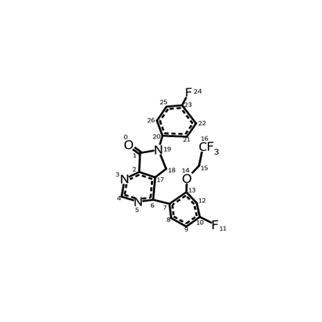 O=C1c2ncnc(-c3ccc(F)cc3OCC(F)(F)F)c2CN1c1ccc(F)cc1